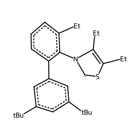 CCC1=C(CC)N(c2c(CC)cccc2-c2cc(C(C)(C)C)cc(C(C)(C)C)c2)[C]S1